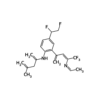 C=C(C)CC(=C)Nc1ccc(C(F)CF)cc1C(=C)/C=C(\N=C/C)C(F)(F)F